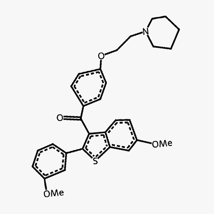 COc1cccc(-c2sc3cc(OC)ccc3c2C(=O)c2ccc(OCCN3CCCCC3)cc2)c1